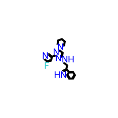 Fc1cncc(-c2nc(NCCc3c[nH]c4ccccc34)cc(N3CCCCC3)n2)c1